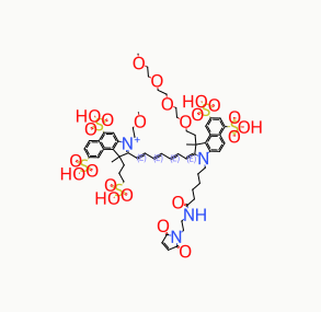 COCCOCCOCCOCCC1(C)\C(=C/C=C/C=C/C=C/C2=[N+](CCOC)c3cc(S(=O)(=O)O)c4ccc(S(=O)(=O)O)cc4c3C2(C)CCCS(=O)(=O)O)N(CCCCCC(=O)NCCN2C(=O)C=CC2=O)c2ccc3c(S(=O)(=O)O)cc(S(=O)(=O)O)cc3c21